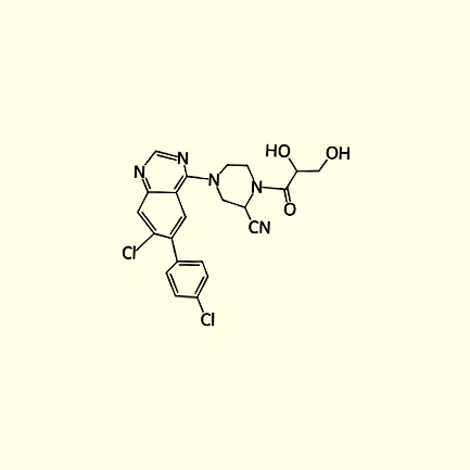 N#CC1CN(c2ncnc3cc(Cl)c(-c4ccc(Cl)cc4)cc23)CCN1C(=O)C(O)CO